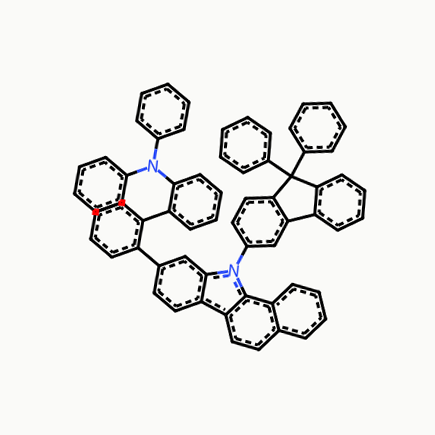 c1ccc(N(c2ccccc2)c2ccccc2-c2ccccc2-c2ccc3c4ccc5ccccc5c4n(-c4ccc5c(c4)-c4ccccc4C5(c4ccccc4)c4ccccc4)c3c2)cc1